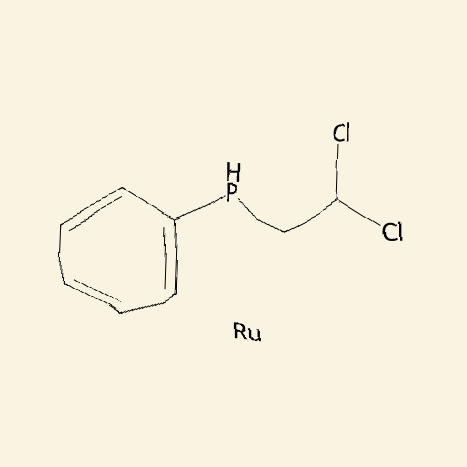 ClC(Cl)CPc1ccccc1.[Ru]